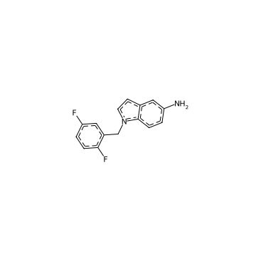 Nc1ccc2c(ccn2Cc2cc(F)ccc2F)c1